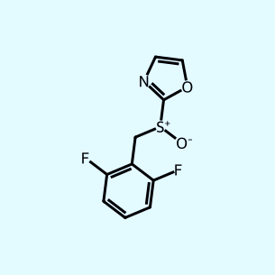 [O-][S+](Cc1c(F)cccc1F)c1ncco1